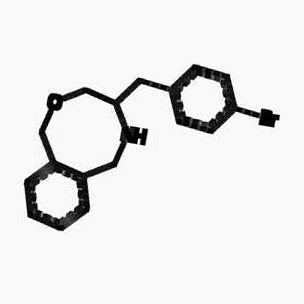 Brc1ccc(CC2COCc3ccccc3CN2)cc1